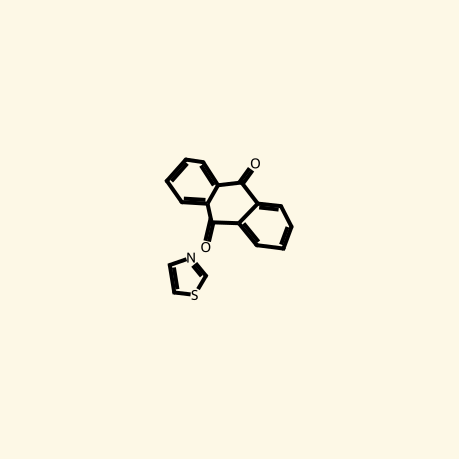 O=C1c2ccccc2C(=O)c2ccccc21.c1cscn1